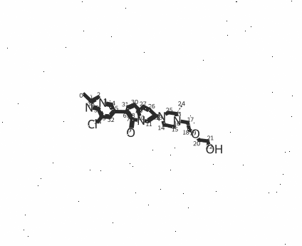 Cc1cn2cc(C3=C\C(=O)N4C=C(N5CCN(CCOCCO)[C@@H](C)C5)C=C\C4=C/C=C/3)cc(Cl)c2n1